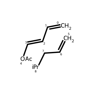 C=CC=COC(C)=O.C=CCC(C)C